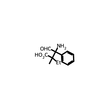 CCC(C)(C(=O)O)C(N)(C=O)c1ccccc1